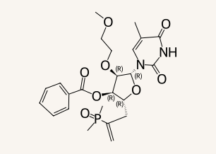 C=C(C[C@H]1O[C@@H](n2cc(C)c(=O)[nH]c2=O)[C@H](OCCOC)[C@@H]1OC(=O)c1ccccc1)P(C)(C)=O